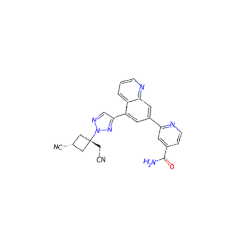 N#CC[C@]1(n2ncc(-c3cc(-c4cc(C(N)=O)ccn4)cc4ncccc34)n2)C[C@@H](C#N)C1